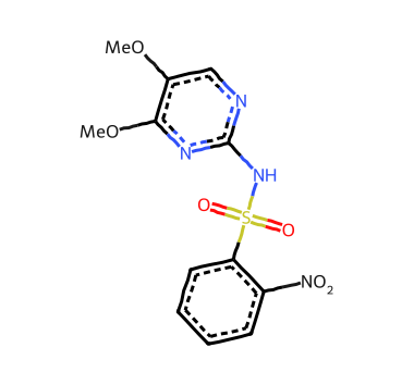 COc1cnc(NS(=O)(=O)c2ccccc2[N+](=O)[O-])nc1OC